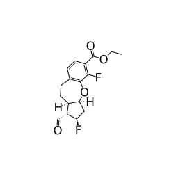 CCOC(=O)c1ccc2c(c1F)O[C@H]1C[C@@H](F)[C@H](C=O)[C@H]1CC2